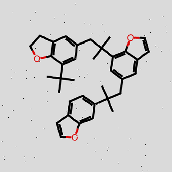 CC(C)(C)c1cc(CC(C)(C)c2cc(CC(C)(C)c3ccc4ccoc4c3)cc3ccoc23)cc2c1OCC2